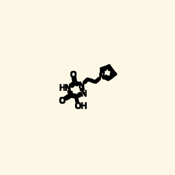 O=c1[nH]c(=O)n(CCn2cccc2)nc1O